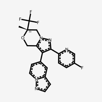 C[C@@]1(C(F)(F)F)Cn2nc(-c3ccc(F)cn3)c(-c3ccn4nccc4c3)c2CO1